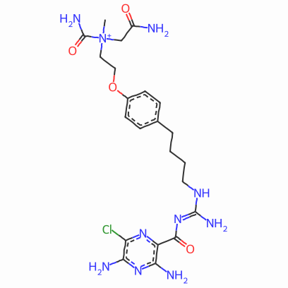 C[N+](CCOc1ccc(CCCCNC(N)=NC(=O)c2nc(Cl)c(N)nc2N)cc1)(CC(N)=O)C(N)=O